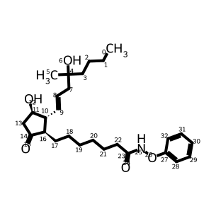 CCCCC(C)(O)C/C=C/[C@H]1[C@H](O)CC(=O)[C@@H]1CCCCCCC(=O)NOc1ccccc1